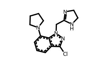 Clc1nn(CC2=NCCN2)c2c(N3CCCC3)cccc12